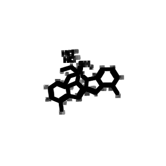 C[CH2][Zr](=[SiH2])([CH2]C)([CH]1C(C)=Cc2c(C)cccc21)[CH]1C(C)=Cc2c(C)cccc21.Cl.Cl